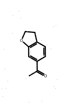 CC(=O)c1ccc2c(c1)OCC2